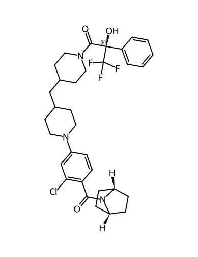 O=C(c1ccc(N2CCC(CC3CCN(C(=O)[C@](O)(c4ccccc4)C(F)(F)F)CC3)CC2)cc1Cl)N1[C@H]2CC[C@@H]1CC2